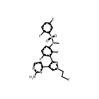 [CH2]N(c1ccc(F)c(-c2nn(CCF)cc2-c2ccnc(N)n2)c1F)S(=O)(=O)c1cc(F)ccc1F